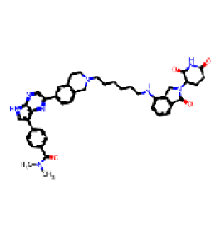 CN(C)C(=O)c1ccc(-c2c[nH]c3ncc(-c4ccc5c(c4)CCN(CCCCCCNc4cccc6c4CN(C4CCC(=O)NC4=O)C6=O)C5)nc23)cc1